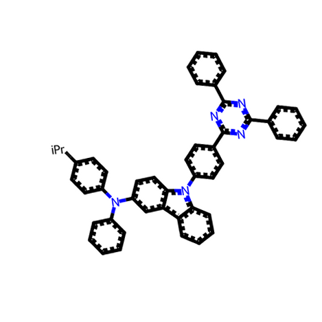 CC(C)c1ccc(N(c2ccccc2)c2ccc3c(c2)c2ccccc2n3-c2ccc(-c3nc(-c4ccccc4)nc(-c4ccccc4)n3)cc2)cc1